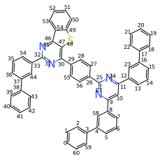 c1ccc(-c2cccc(-c3cc(-c4cccc(-c5ccccc5)c4)nc(-c4ccc(-c5nc(-c6cccc(-c7ccccc7)c6)nc6c5sc5ccccc56)cc4)n3)c2)cc1